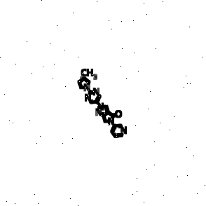 C[C@H]1CCN(c2ncc(-n3cc4c(n3)CN(c3cccnc3)C4=O)cn2)C1